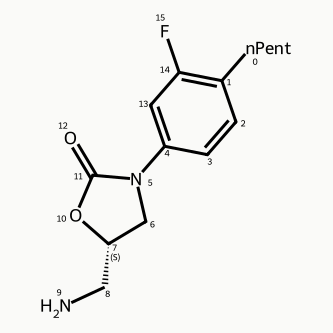 CCCCCc1ccc(N2C[C@H](CN)OC2=O)cc1F